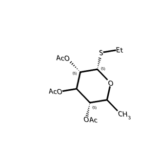 CCS[C@@H]1OC(C)[C@H](OC(C)=O)C(OC(C)=O)[C@@H]1OC(C)=O